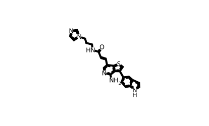 Nc1ncc(C=CC(=O)NCCCn2ccnc2)c2scc(-c3ccc4[nH]ccc4c3)c12